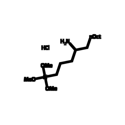 CCCCCCCCCC(N)CCC[Si](OC)(OC)OC.Cl